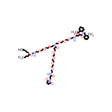 C#CCCC[C@H](CCCC)OCNCCOCCOCCOCCN(CCOCCOCCOCCNC(O)CCC(=O)N(Cc1ccccc1C)c1ccccc1C=C)C(=O)CCOCCOCCOCCOCCNC(=O)CCN1C(=O)C=CC1=O